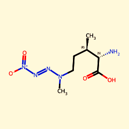 C[C@H](CCN(C)N=N[N+](=O)[O-])[C@H](N)C(=O)O